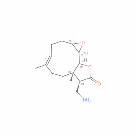 C/C1=C\CC[C@@]2(C)O[C@H]2[C@H]2OC(=O)[C@@H](CN)[C@@H]2CC1